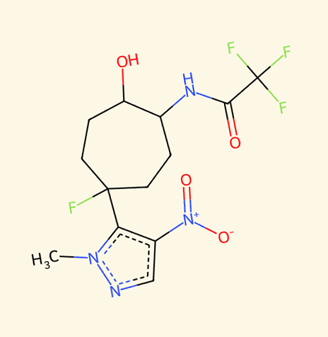 Cn1ncc([N+](=O)[O-])c1C1(F)CCC(O)C(NC(=O)C(F)(F)F)CC1